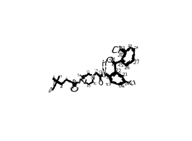 CC(C)(C)CCC(=O)N1CCN(CC(=O)Nc2ccc(Cl)cc2C(=O)c2ccccc2Cl)CC1